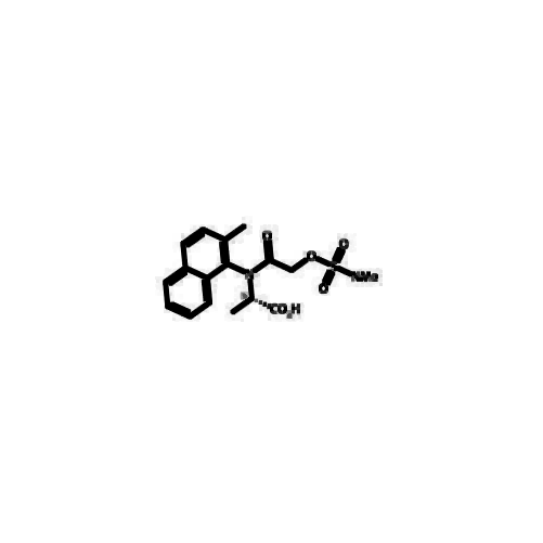 CNS(=O)(=O)OCC(=O)N(c1c(C)ccc2ccccc12)[C@@H](C)C(=O)O